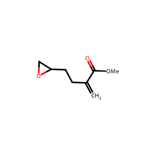 C=C(CCC1CO1)C(=O)OC